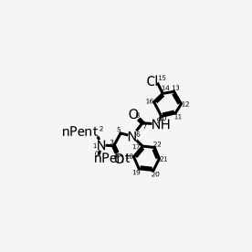 CCCCCN(CCCCC)C(=O)CN(C(=O)Nc1cccc(Cl)c1)c1ccccc1